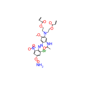 C=CC(=O)OCCN(CCOC(=O)C=C)c1cc(NC(C)=O)c(/N=N/c2c(Br)cc(OON)cc2[N+](=O)[O-])cc1OC